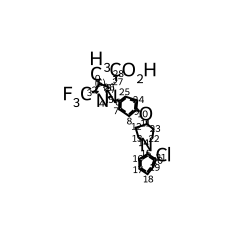 C[C@@H]1C(C(F)(F)F)=NN(c2ccc(OC3CCN(c4ccccc4Cl)CC3)cc2)[C@H]1CC(=O)O